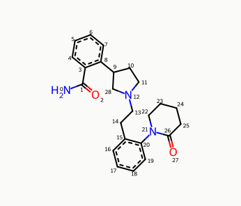 NC(=O)c1ccccc1C1CCN(CCc2ccccc2N2CCCCC2=O)C1